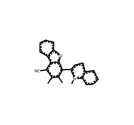 Cc1c(C)c(C#N)c2c(oc3ccccc32)c1-c1ccc2ccccc2[n+]1C